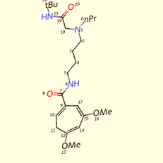 CCCN(CCCCNC(=O)C1=CCC(OC)=CC(OC)=C1)CC(=O)NC(C)(C)C